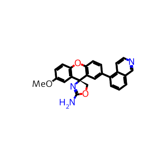 COc1ccc2c(c1)[C@]1(COC(N)=N1)c1cc(-c3cccc4cnccc34)ccc1O2